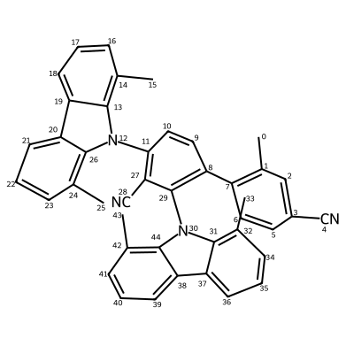 Cc1cc(C#N)ccc1-c1ccc(-n2c3c(C)cccc3c3cccc(C)c32)c(C#N)c1-n1c2c(C)cccc2c2cccc(C)c21